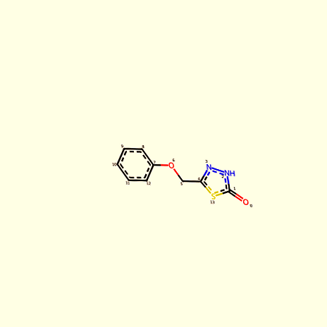 O=c1[nH]nc(COc2ccccc2)s1